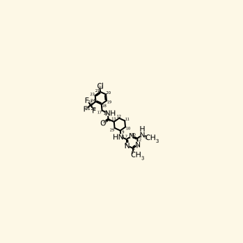 CNc1nc(C)nc(NC2CCCC(C(=O)NCc3ccc(Cl)cc3C(F)(F)F)C2)n1